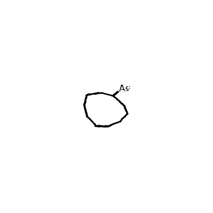 [As]C1CCCCCCCCC1